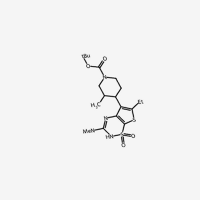 CCc1sc2c(c1C1CCN(C(=O)OC(C)(C)C)CC1C)N=C(NC)NS2(=O)=O